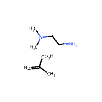 C=C(C)C(=O)O.CN(C)CCN